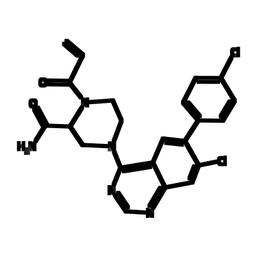 C=CC(=O)N1CCN(c2ncnc3cc(Cl)c(-c4ccc(Cl)cc4)cc23)CC1C(N)=O